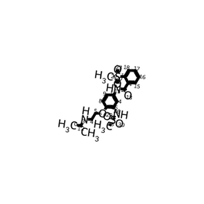 CC(C)NCCOc1ccc(NC(=O)c2ccccc2S(C)(=O)=O)cc1NS(C)(=O)=O